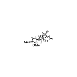 C=CCC1=C[C@@]2(OCC)C(=CC1=O)O[C@H](c1ccc(OC)c(OC)c1)[C@@H]2C